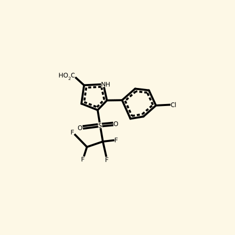 O=C(O)c1cc(S(=O)(=O)C(F)(F)C(F)F)c(-c2ccc(Cl)cc2)[nH]1